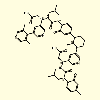 Cc1ccn([C@@H](CC(C)C)C(=O)N[C@@H](CC(=O)O)c2cncc(N3CCCC(c4ccn([C@@H](CC(C)C)C(=O)N[C@@H](CC(=O)O)c5cncc(-c6c(C)cncc6C)c5)c(=O)c4)[C@@H]3C)c2)c(=O)c1